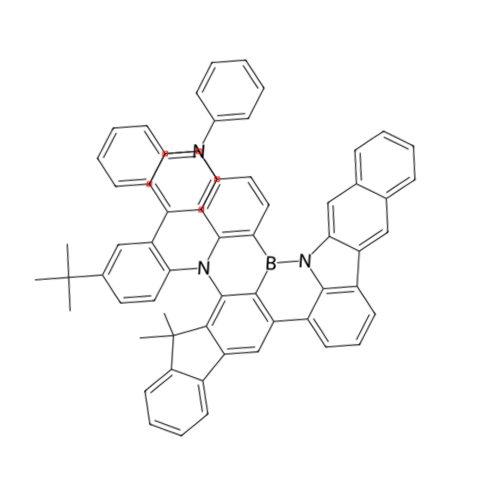 CC(C)(C)c1ccc(N2c3cc(N(c4ccccc4)c4ccccc4)ccc3B3c4c(cc5c(c42)C(C)(C)c2ccccc2-5)-c2cccc4c5cc6ccccc6cc5n3c24)c(-c2ccccc2)c1